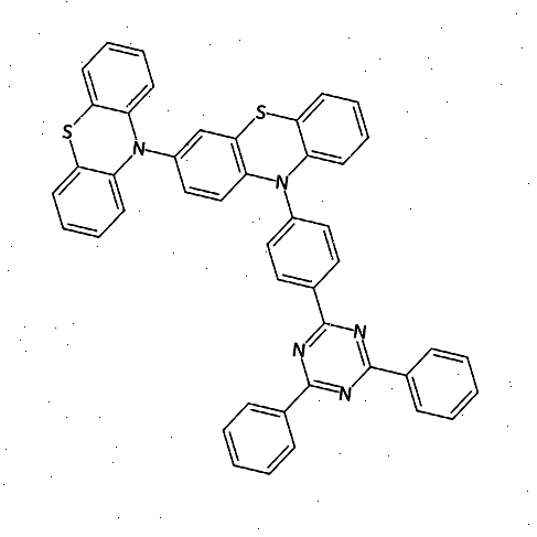 c1ccc(-c2nc(-c3ccccc3)nc(-c3ccc(N4c5ccccc5Sc5cc(N6c7ccccc7Sc7ccccc76)ccc54)cc3)n2)cc1